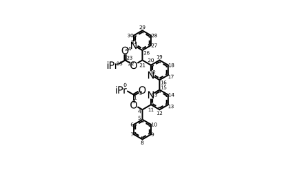 CC(C)C(=O)OC(c1ccccc1)c1cccc(-c2cccc(C(OC(=O)C(C)C)c3ccccn3)n2)n1